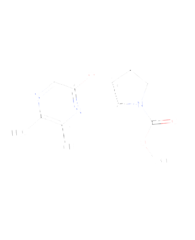 Cc1ncc(O[C@@H]2CCN(C(=O)OC(C)(C)C)C2)nc1C